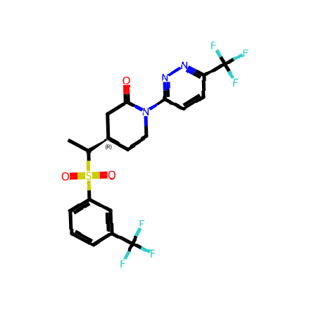 CC([C@@H]1CCN(c2ccc(C(F)(F)F)nn2)C(=O)C1)S(=O)(=O)c1cccc(C(F)(F)F)c1